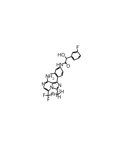 [2H]C([2H])([2H])c1nc(-c2ccc(NC(=O)C(O)c3cccc(F)c3)cc2C)c2c(N)ncc(C(F)(F)F)n12